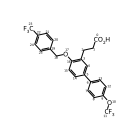 O=C(O)CCc1cc(-c2ccc(OC(F)(F)F)cc2)ccc1OCc1ccc(C(F)(F)F)cc1